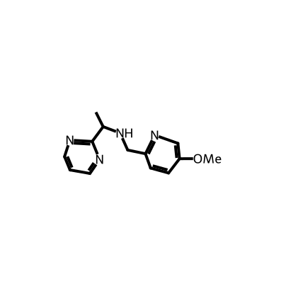 COc1ccc(CNC(C)c2ncccn2)nc1